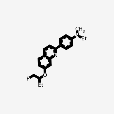 CCC(CF)Oc1ccc2ccc(-c3ccc(N(C)CC)cc3)nc2c1